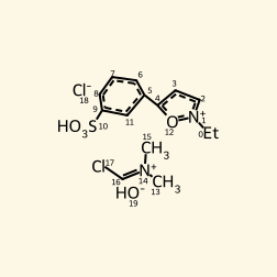 CC[n+]1ccc(-c2cccc(S(=O)(=O)O)c2)o1.C[N+](C)=CCl.[Cl-].[OH-]